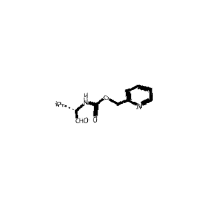 CC(C)[C@@H]([C]=O)NC(=O)OCc1ccccn1